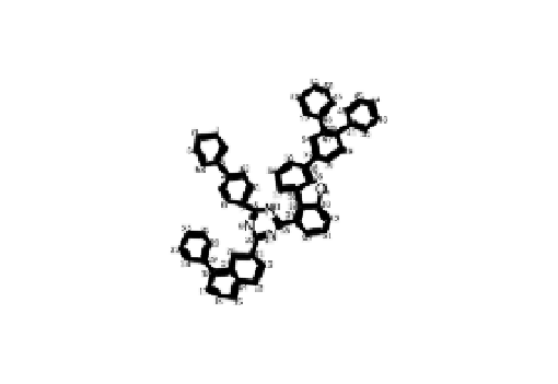 c1ccc(-c2ccc(-c3nc(-c4ccc5cccc(-c6ccccc6)c5c4)nc(-c4cccc5oc6c(-c7ccc(-c8ccccc8)c(-c8ccccc8)c7)cccc6c45)n3)cc2)cc1